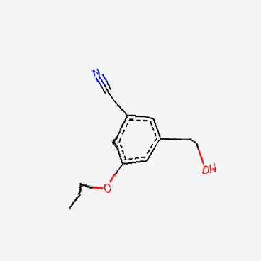 CCOc1cc(C#N)cc(CO)c1